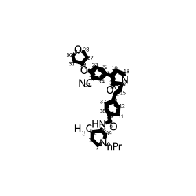 CCCN1CCC(C)C(NC(=O)c2ccc(-c3cc4nccc(-c5ccc(OC6CCOCC6)c(C#N)c5)c4o3)cc2)C1